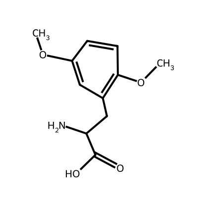 COc1ccc(OC)c(CC(N)C(=O)O)c1